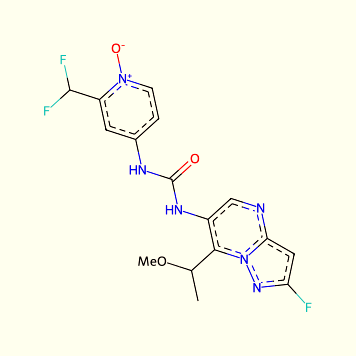 COC(C)c1c(NC(=O)Nc2cc[n+]([O-])c(C(F)F)c2)cnc2cc(F)nn12